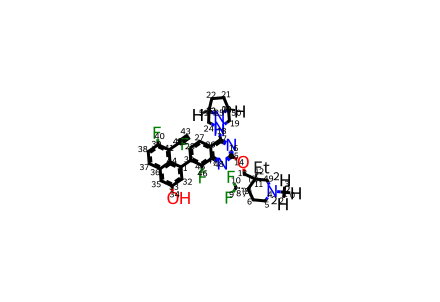 [2H]C([2H])([2H])N1CC[C@H](C(F)F)[C@](CC)(COc2nc(N3C[C@H]4CC[C@@H](C3)N4)c3cc(F)c(-c4cc(O)cc5ccc(F)c(C#C)c45)c(F)c3n2)C1